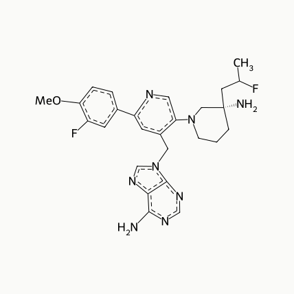 COc1ccc(-c2cc(Cn3cnc4c(N)ncnc43)c(N3CCC[C@](N)(CC(C)F)C3)cn2)cc1F